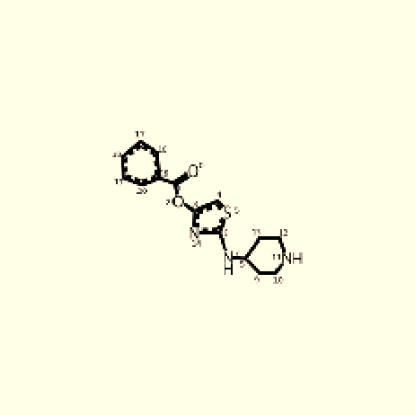 O=C(Oc1csc(NC2CCNCC2)n1)c1ccccc1